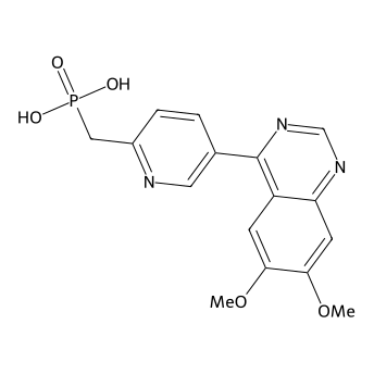 COc1cc2ncnc(-c3ccc(CP(=O)(O)O)nc3)c2cc1OC